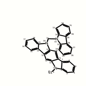 CCn1c2ccccc2c2cc3c(cc21)c1ccccc1n3Cn1c2ccccc2c2ccccc21